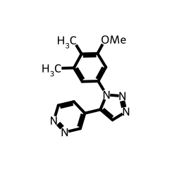 COc1cc(-n2nncc2-c2ccnnc2)cc(C)c1C